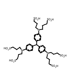 O=S(=O)(O)CCCN(CCCS(=O)(=O)O)c1ccc(C(c2ccc(N(CCCS(=O)(=O)O)CCCS(=O)(=O)O)cc2)c2ccc(N(CCCS(=O)(=O)O)CCCS(=O)(=O)O)cc2)cc1